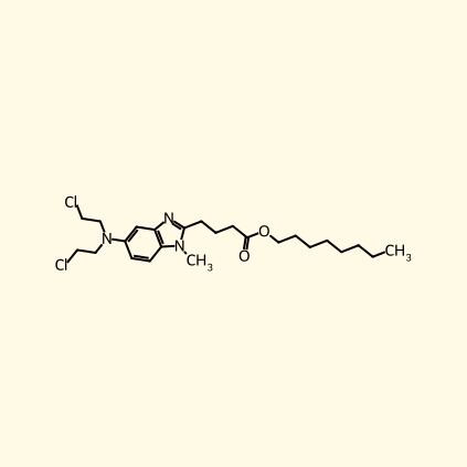 CCCCCCCCOC(=O)CCCc1nc2cc(N(CCCl)CCCl)ccc2n1C